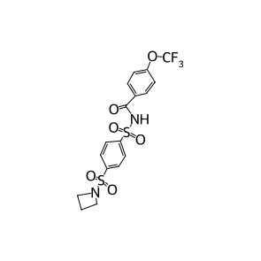 O=C(NS(=O)(=O)c1ccc(S(=O)(=O)N2CCC2)cc1)c1ccc(OC(F)(F)F)cc1